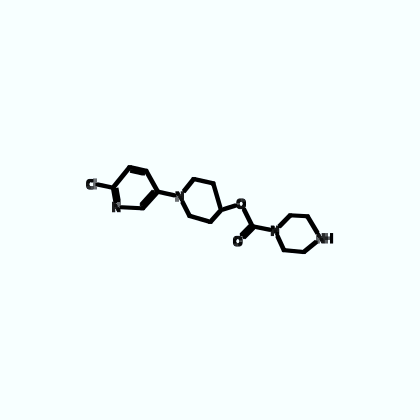 O=C(OC1CCN(c2ccc(Cl)nc2)CC1)N1CCNCC1